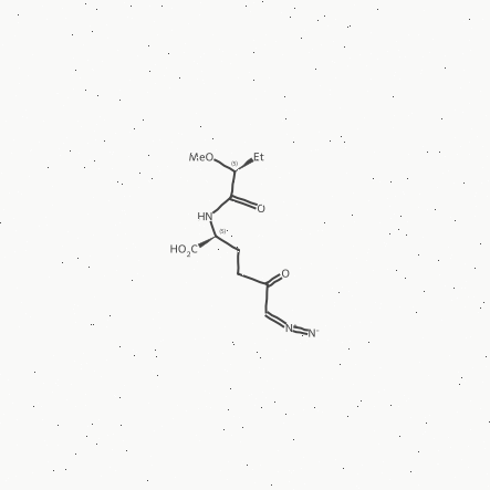 CC[C@H](OC)C(=O)N[C@@H](CCC(=O)C=[N+]=[N-])C(=O)O